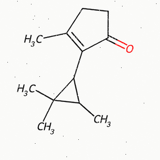 CC1=C(C2C(C)C2(C)C)C(=O)CC1